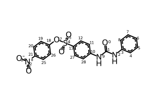 O=C(Nc1ccccc1)Nc1ccc(S(=O)(=O)Oc2ccc([N+](=O)[O-])cc2)cc1